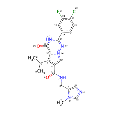 CC(C)c1c(C(=O)NCc2cncn2C)cn2nc(-c3ccc(Cl)c(F)c3)[nH]c(=O)c12